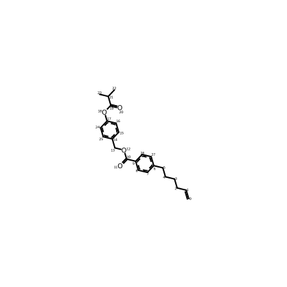 C=CCCCCc1ccc(C(=O)OCc2ccc(OC(=O)C(C)C)cc2)cc1